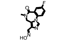 CN1Cc2c(C=NO)ncn2-c2ccc(F)cc2C1=O